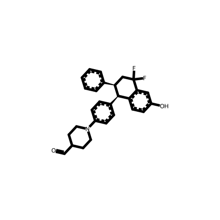 O=CC1CCN(c2ccc([C@@H]3c4ccc(O)cc4C(F)(F)C[C@@H]3c3ccccc3)cc2)CC1